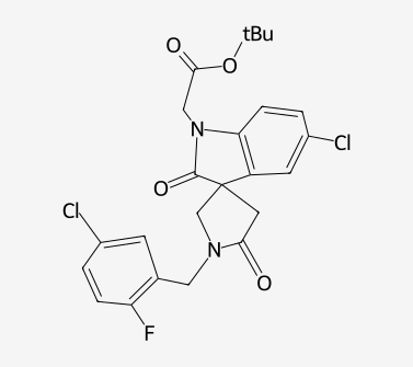 CC(C)(C)OC(=O)CN1C(=O)C2(CC(=O)N(Cc3cc(Cl)ccc3F)C2)c2cc(Cl)ccc21